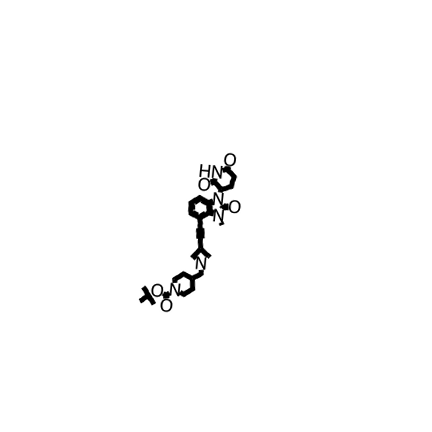 Cn1c(=O)n(C2CCC(=O)NC2=O)c2cccc(C#CC3CN(CC4CCN(C(=O)OC(C)(C)C)CC4)C3)c21